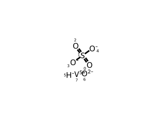 O=S(=O)([O-])[O-].[H-].[O-2].[V+5]